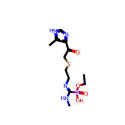 CCOP(=O)(O)C(=NCCSCC(=O)c1nc[nH]c1C)NC